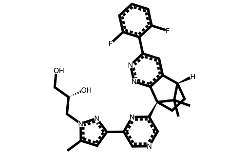 Cc1cc(-c2cncc([C@@]34CC[C@@H](c5cc(-c6c(F)cccc6F)nnc53)C4(C)C)n2)nn1C[C@@H](O)CO